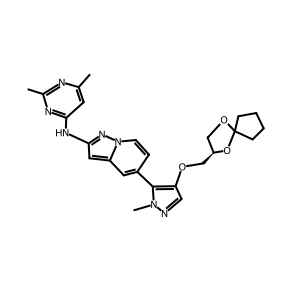 Cc1cc(Nc2cc3cc(-c4c(OC[C@H]5COC6(CCCC6)O5)cnn4C)ccn3n2)nc(C)n1